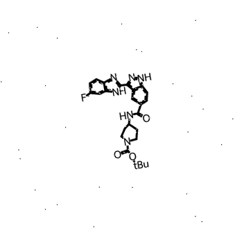 CC(C)(C)OC(=O)N1CCC(NC(=O)c2ccc3[nH]nc(-c4nc5ccc(F)cc5[nH]4)c3c2)CC1